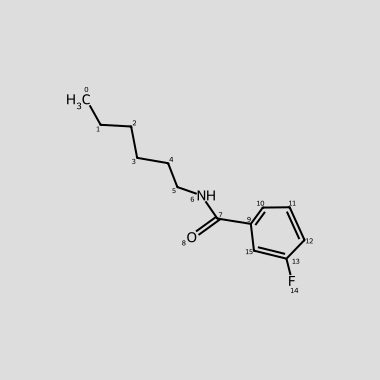 CCCCCCNC(=O)c1cccc(F)c1